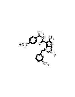 CC(NC(=O)c1c(C(F)(F)F)nn2c1N(Cc1cccc(C(F)(F)F)c1)C[C@H]2CF)c1ccc(C(=O)O)cc1